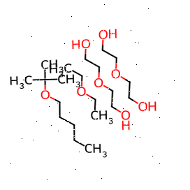 CCCCCOC(C)(C)C.CCOCC.OCCOCCO.OCCOCCO